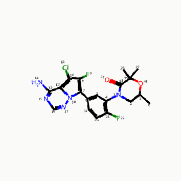 CC1CN(c2cc(-c3c(F)c(Cl)c4c(N)ncnn34)ccc2F)C(=O)C(C)(C)O1